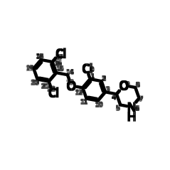 Clc1cc(C2CNCCO2)ccc1OCc1c(Cl)cccc1Cl